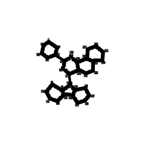 c1ccc(-c2nc(-n3c4ccccc4c4ccccc43)c3ccc4ccccc4c3n2)cc1